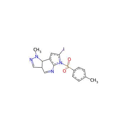 Cc1ccc(S(=O)(=O)n2c(I)cc3c2N=CC2C=NN(C)C32)cc1